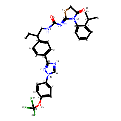 CCC(CNC(=O)/N=C1\SCC(=O)N1c1ccccc1C(C)C)c1ccc(-c2ncn(-c3ccc(OC(F)(F)F)cc3)n2)cc1